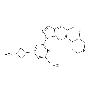 Cc1nc(C2CC(O)C2)cc(-n2ncc3cc(C)c(C4CCNCC4F)cc32)n1.Cl